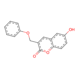 O=c1oc2ccc(O)cc2cc1COc1ccccc1